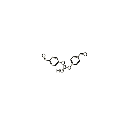 O=Cc1ccc(OB(O)Oc2ccc(C=O)cc2)cc1